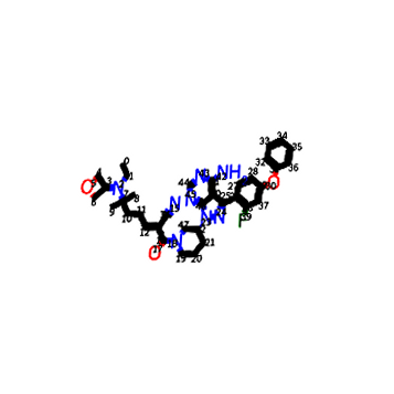 CCN(C1COC1)C(C)(C)CC/C=C(\C#N)C(=O)N1CCC[C@@H](n2nc(-c3ccc(Oc4ccccc4)cc3F)c3c(N)ncnc32)C1